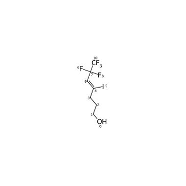 OCCC/C(I)=C/C(F)(F)C(F)(F)F